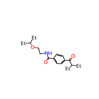 CCC(CC)OCCNC(=O)c1ccc(C(=O)C(CC)CC)cc1